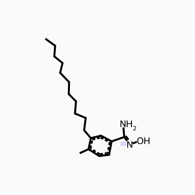 CCCCCCCCCCCc1cc(/C(N)=N/O)ccc1C